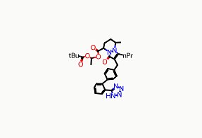 CCCc1c(Cc2ccc(-c3ccccc3-c3nnn[nH]3)cc2)c(=O)n2n1C(C)CCC2C(=O)OC(C)OC(=O)C(C)(C)C